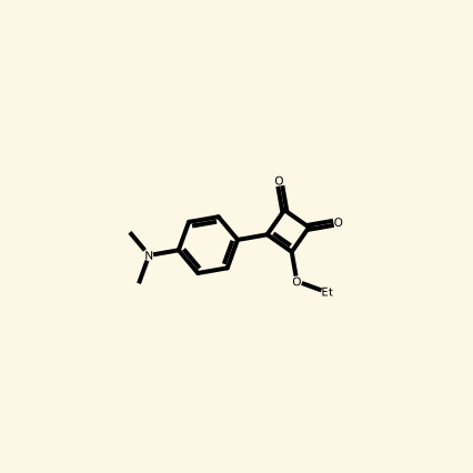 CCOc1c(-c2ccc(N(C)C)cc2)c(=O)c1=O